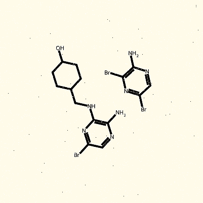 Nc1ncc(Br)nc1Br.Nc1ncc(Br)nc1NCC1CCC(O)CC1